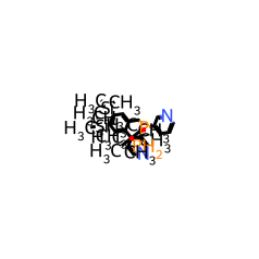 CC(C)(C)C(P)(c1cc([Si](C)(C)C)c([Si](C)(C)C)cc1CP(c1cccnc1)c1cccnc1)C(C)(C)C